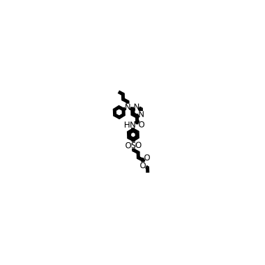 CCCCN(c1cc(C(=O)Nc2ccc(S(=O)(=O)CCCC(=O)OCC)cc2)ncn1)C1CCCCC1